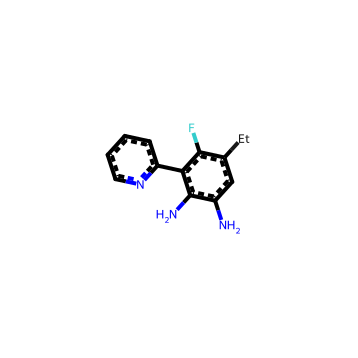 CCc1cc(N)c(N)c(-c2ccccn2)c1F